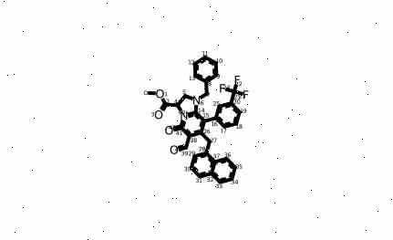 COC(=O)C1CN(Cc2ccccc2)c2c(-c3cccc(C(F)(F)F)c3)c(Cc3cccc4ccccc34)c(C=O)c(=O)n21